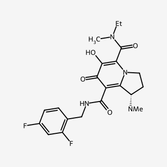 CCN(C)C(=O)c1c(O)c(=O)c(C(=O)NCc2ccc(F)cc2F)c2n1CC[C@@H]2NC